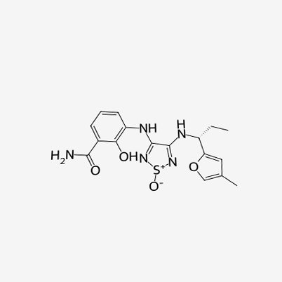 CC[C@@H](Nc1n[s+]([O-])nc1Nc1cccc(C(N)=O)c1O)c1cc(C)co1